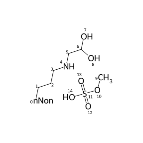 CCCCCCCCCCCCNCC(O)O.COS(=O)(=O)O